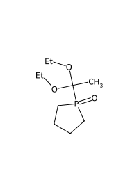 CCOC(C)(OCC)P1(=O)CCCC1